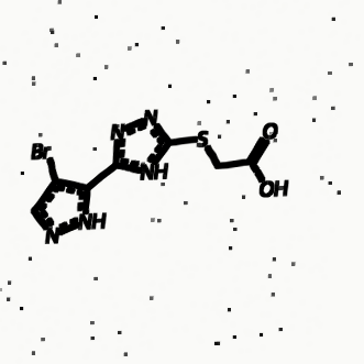 O=C(O)CSc1nnc(-c2[nH]ncc2Br)[nH]1